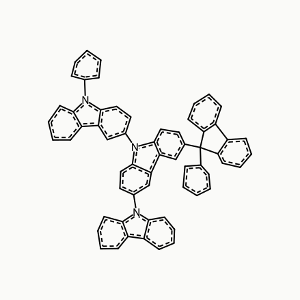 c1ccc(-n2c3ccccc3c3cc(-n4c5ccc(-n6c7ccccc7c7ccccc76)cc5c5cc(C6(c7ccccc7)c7ccccc7-c7ccccc76)ccc54)ccc32)cc1